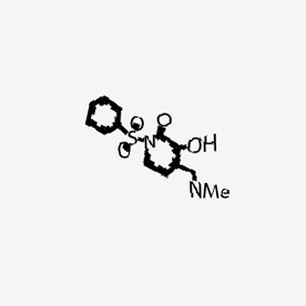 CNCc1ccn(S(=O)(=O)c2ccccc2)c(=O)c1O